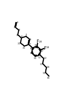 C=CCCC1CC=C(c2ccc(CCCCC)c(F)c2F)CC1